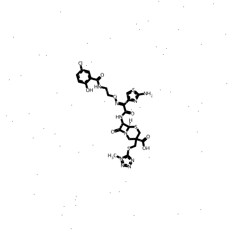 Cn1nnnc1SCC1(C(=O)O)CS[C@@H]2C(NC(=O)C(=NOCCNC(=O)c3cc(Cl)ccc3O)c3csc(N)n3)C(=O)N2C1